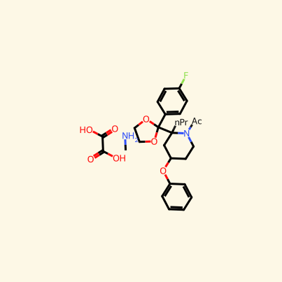 CCCC1(C2(c3ccc(F)cc3)OCCO2)CC(Oc2ccccc2)CCN1C(C)=O.CN.O=C(O)C(=O)O